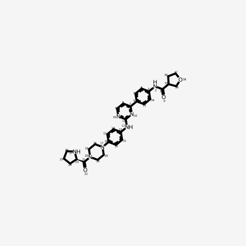 O=C(Nc1ccc(-c2ccnc(Nc3ccc(N4CCN(C(=O)[C@H]5CCCN5)CC4)cc3)n2)cc1)C1CCOC1